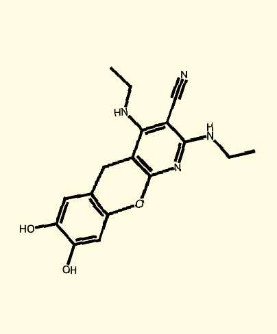 CCNc1nc2c(c(NCC)c1C#N)Cc1cc(O)c(O)cc1O2